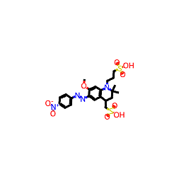 COc1cc2c(cc1/N=N/c1ccc([N+](=O)[O-])cc1)C(CS(=O)(=O)O)CC(C)(C)N2CCCS(=O)(=O)O